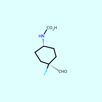 O=C[C@]1(F)CC[C@H](NC(=O)O)CC1